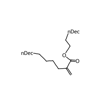 C=C(CCCCCCCCCCCCCC)C(=O)OCCCCCCCCCCCC